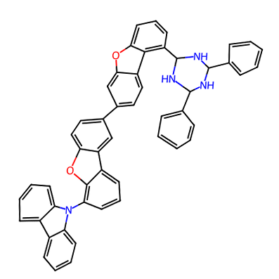 c1ccc(C2NC(c3ccccc3)NC(c3cccc4oc5cc(-c6ccc7oc8c(-n9c%10ccccc%10c%10ccccc%109)cccc8c7c6)ccc5c34)N2)cc1